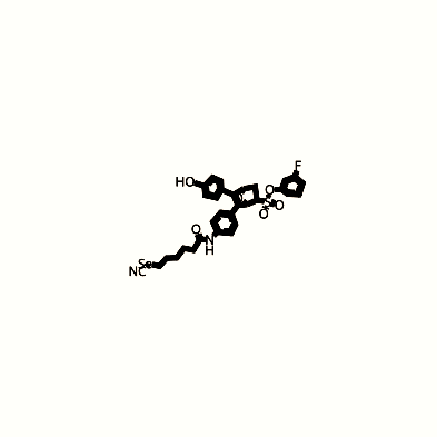 N#C[Se]CCCCCC(=O)Nc1ccc(C2=C(c3ccc(O)cc3)C3CC(S(=O)(=O)Oc4cccc(F)c4)C2O3)cc1